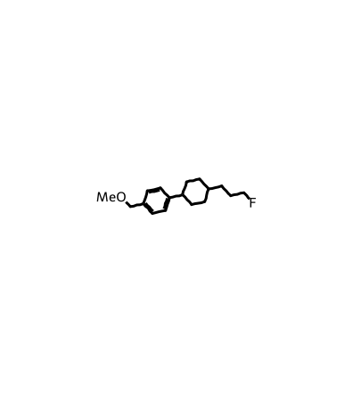 COCc1ccc(C2CCC(CCCF)CC2)cc1